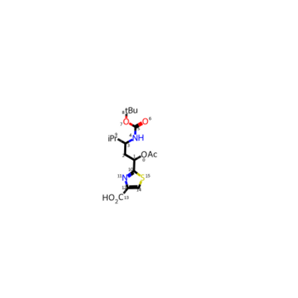 CC(=O)OC(CC(NC(=O)OC(C)(C)C)C(C)C)c1nc(C(=O)O)cs1